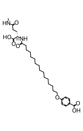 CNC(=O)CC[C@H](NC(=O)CCCCCCCCCCCCCCCOc1ccc(C(=O)O)cc1)C(=O)O